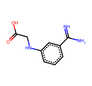 N=C(N)c1cccc(NCC(=O)O)c1